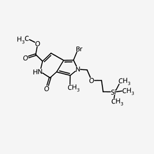 COC(=O)c1cc2c(Br)n(COCC[Si](C)(C)C)c(C)c2c(=O)[nH]1